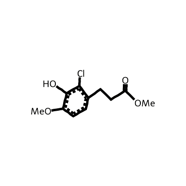 COC(=O)CCc1ccc(OC)c(O)c1Cl